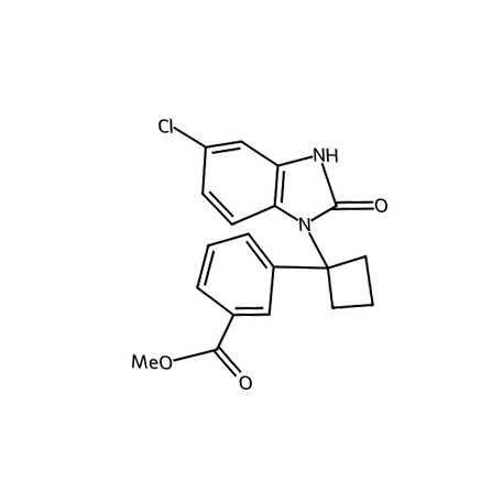 COC(=O)c1cccc(C2(n3c(=O)[nH]c4cc(Cl)ccc43)CCC2)c1